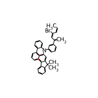 C=C(/C=C(Br)\C=C/C)c1cccc(N(c2ccc3c(c2)C(C)(C)c2ccccc2-3)c2ccccc2-c2ccccc2)c1